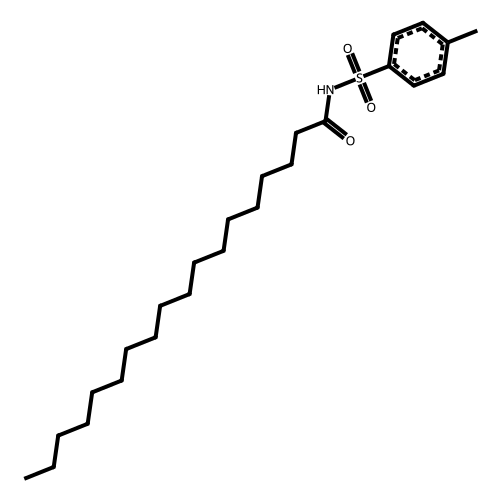 CCCCCCCCCCCCCCCCCC(=O)NS(=O)(=O)c1ccc(C)cc1